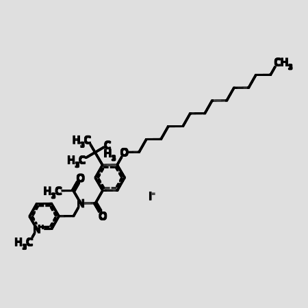 CCCCCCCCCCCCCCOc1ccc(C(=O)N(Cc2ccc[n+](C)c2)C(C)=O)cc1C(C)(C)C.[I-]